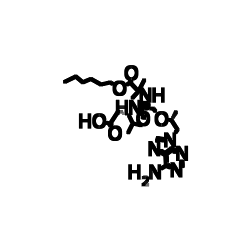 CCCCCCOC(=O)C(C)(C)NP(=O)(CO[C@@H](C)Cn1cnc2c(N)ncnc21)N[C@@H](CC(=O)O)C(C)C